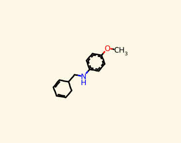 COc1ccc(NCC2C=CC=CC2)cc1